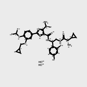 C[C@H](N)c1oc(-c2ccc(OC(F)F)c(OCC3CC3)c2)nc1C(=O)NC(CNC(=O)[C@@H](N)C1CC1)c1ccc(F)cc1F.Cl.Cl